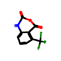 O=c1[nH]c2cccc(C(F)(F)F)c2c(=O)o1